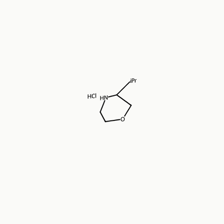 CC(C)C1COCCN1.Cl